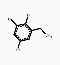 CCc1cc(Br)cc(Cl)c1[O]